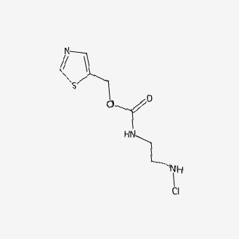 O=C(NCCNCl)OCc1cncs1